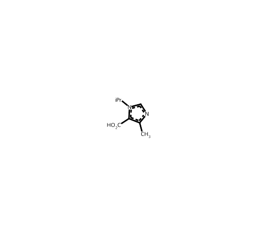 Cc1ncn(C(C)C)c1C(=O)O